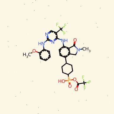 COc1ccccc1Nc1ncc(C(F)(F)F)c(Nc2ccc(C3CCC(P(=O)(O)OC(=O)C(F)(F)F)CC3)c3c2C(=O)N(C)C3)n1